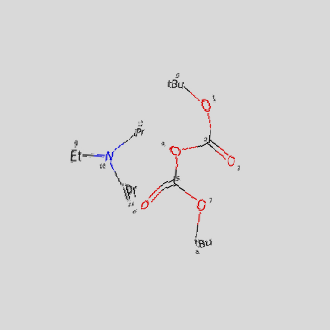 CC(C)(C)OC(=O)OC(=O)OC(C)(C)C.CCN(C(C)C)C(C)C